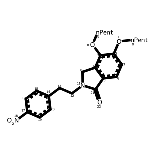 CCCCCOc1ccc2c(c1OCCCCC)CN(CCc1ccc([N+](=O)[O-])cc1)C2=O